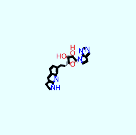 O[C@@H]1[C@H](O)[C@@H](CCc2ccc3cc4c(nc3c2)NCC4)O[C@H]1n1ccc2cncnc21